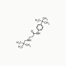 CC(C)(C)CNCCC(=O)Nc1ccc(C(C)(C)C)cc1